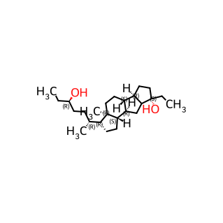 CC[C@@H](O)CC[C@@H](C)[C@H]1CC[C@H]2[C@@H]3CC4[C@H](CC[C@@]4(O)CC)[C@H]3CC[C@]12C